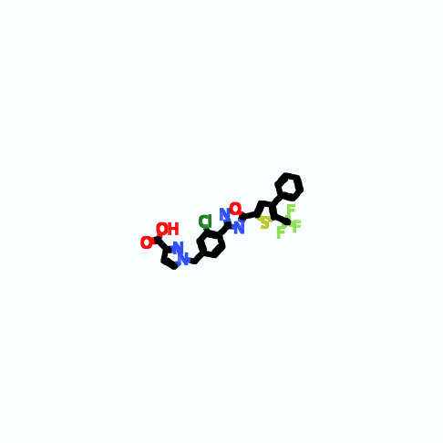 O=C(O)c1ccn(Cc2ccc(-c3noc(-c4cc(-c5ccccc5)c(C(F)(F)F)s4)n3)c(Cl)c2)n1